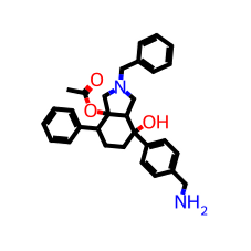 CC(=O)OC12CN(Cc3ccccc3)CC1C(O)(c1ccc(CN)cc1)CCC2c1ccccc1